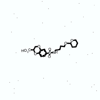 O=C(O)C1COc2cc(S(=O)(=O)NCCCCOC3CCCCO3)ccc2O1